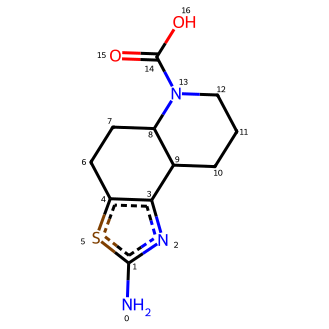 Nc1nc2c(s1)CCC1C2CCCN1C(=O)O